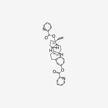 C#C[C@]1(OC(=O)c2ccccn2)CC[C@H]2[C@@H]3CCc4cc(OC(=O)c5ccccn5)ccc4[C@H]3CC[C@@]21C